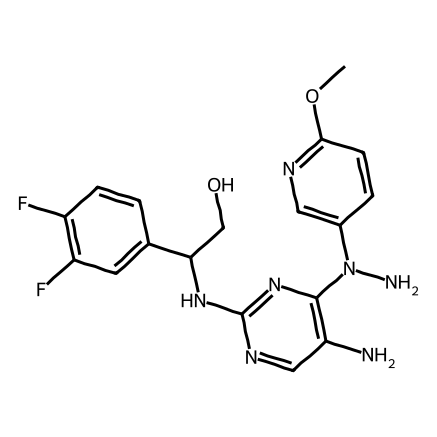 COc1ccc(N(N)c2nc(NC(CO)c3ccc(F)c(F)c3)ncc2N)cn1